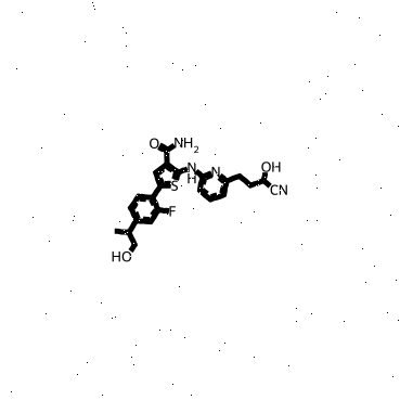 CC(CO)c1ccc(-c2cc(C(N)=O)c(Nc3cccc(CCC(O)C#N)n3)s2)c(F)c1